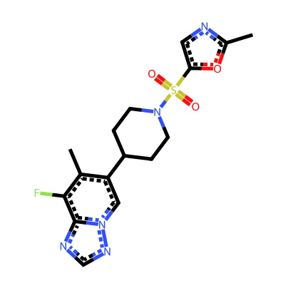 Cc1ncc(S(=O)(=O)N2CCC(c3cn4ncnc4c(F)c3C)CC2)o1